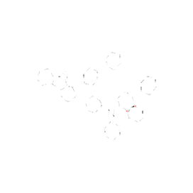 c1ccc(-c2ccc(-c3c(-c4ccc(N(c5ccc(-c6ccccc6)cc5)c5ccccc5-c5ccccc5)cc4)ccc4c3sc3ccccc34)cc2)cc1